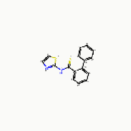 S=C(Nc1nccs1)c1ccccc1-c1ccccc1